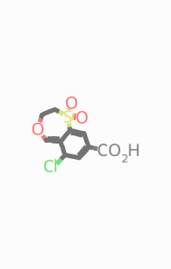 O=C(O)C1=CC(Cl)C2=COCCS(=O)(=O)C2=C1